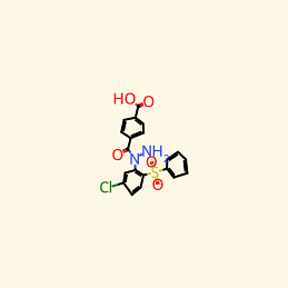 NN(C(=O)c1ccc(C(=O)O)cc1)c1cc(Cl)ccc1S(=O)(=O)c1ccccc1